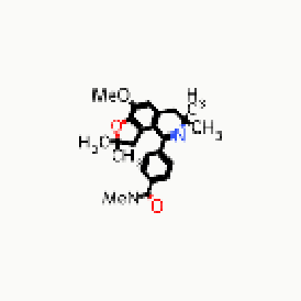 CNC(=O)c1ccc(C2=NC(C)(C)Cc3cc(OC)c4c(c32)CC(C)(C)O4)cc1